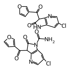 NC(=O)N1C(=O)C(C(=O)c2ccoc2)c2ncc(Cl)cc21.O=C1Nc2cc(Cl)cnc2C1C(=O)c1ccoc1